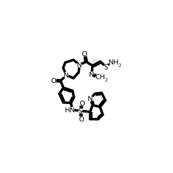 C=N/C(=C\SN)C(=O)N1CCCN(C(=O)c2ccc(NS(=O)(=O)c3cccc4cccnc34)cc2)CC1